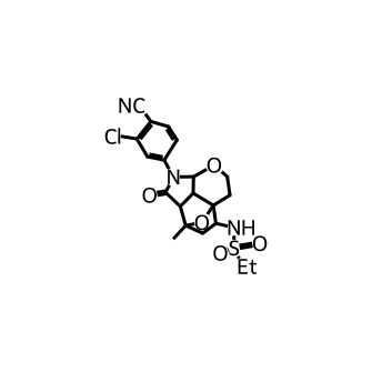 CCS(=O)(=O)NC1CC2(C)OC13CCOC1C3C2C(=O)N1c1ccc(C#N)c(Cl)c1